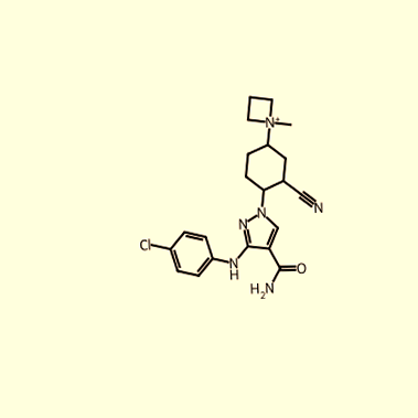 C[N+]1(C2CCC(n3cc(C(N)=O)c(Nc4ccc(Cl)cc4)n3)C(C#N)C2)CCC1